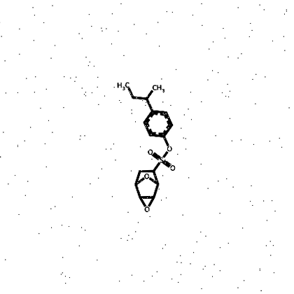 CCC(C)c1ccc(OS(=O)(=O)C2CC3OC2C2OC32)cc1